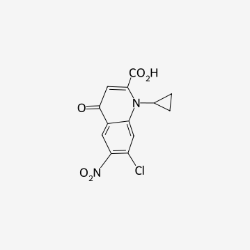 O=C(O)c1cc(=O)c2cc([N+](=O)[O-])c(Cl)cc2n1C1CC1